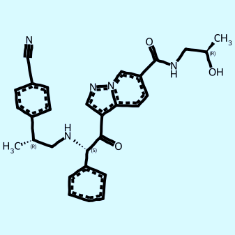 C[C@@H](O)CNC(=O)c1ccc2c(C(=O)[C@@H](NC[C@H](C)c3ccc(C#N)cc3)c3ccccc3)cnn2c1